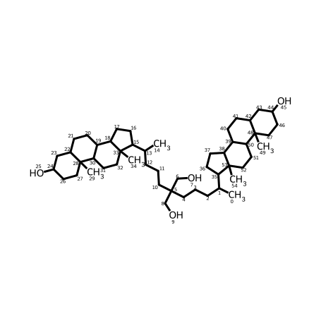 CC(CCCC(CO)(CO)CCCC(C)C1CCC2C3CCC4CC(O)CCC4(C)C3CCC12C)C1CCC2C3CCC4CC(O)CCC4(C)C3CCC12C